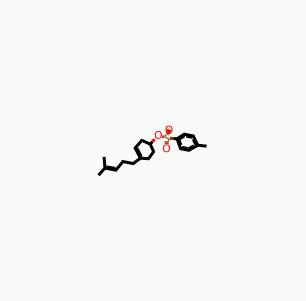 CC(C)=CCCC1=CCC(OS(=O)(=O)c2ccc(C)cc2)CC1